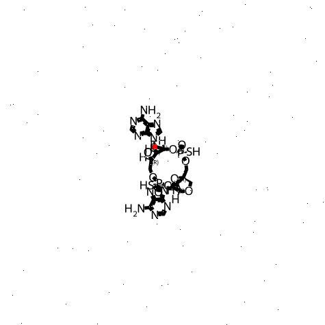 Nc1ncnc2c1ncn2C1O[C@@]23CO[C@@H]1[C@@H]2O[P@](=O)(S)OC[C@H]1O[C@@H](n2cnc4c(N)ncnc42)[C@H](O[P@](=O)(S)OC3)[C@@H]1F